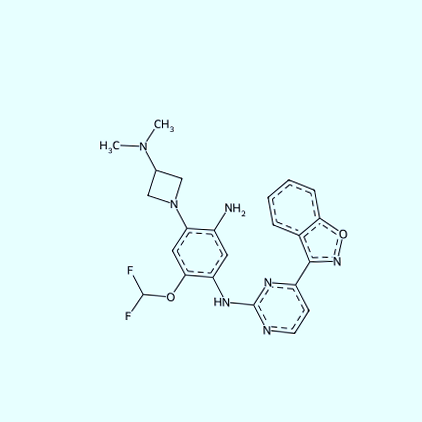 CN(C)C1CN(c2cc(OC(F)F)c(Nc3nccc(-c4noc5ccccc45)n3)cc2N)C1